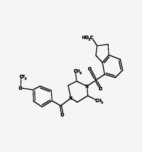 CC1CN(C(=O)c2ccc(OC(F)(F)F)cc2)CC(C)N1S(=O)(=O)c1cccc2c1CC(C(=O)O)C2